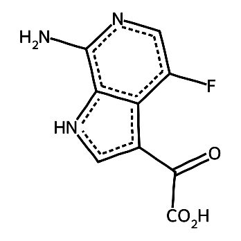 Nc1ncc(F)c2c(C(=O)C(=O)O)c[nH]c12